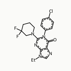 CCn1cnc2c(=O)n(-c3ccc(Cl)cc3)c(N3CCCC(F)(F)C3)nc21